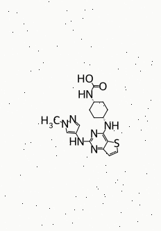 Cn1cc(Nc2nc(N[C@H]3CC[C@@H](NC(=O)O)CC3)c3sccc3n2)cn1